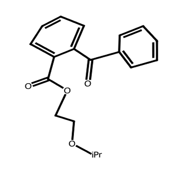 CC(C)OCCOC(=O)c1ccccc1C(=O)c1ccccc1